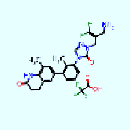 Cc1cc(-c2cccc(-n3cnn(CC(CN)=C(F)F)c3=O)c2C)cc2c1NC(=O)CC2.O=C(O)C(F)(F)F